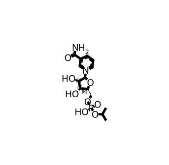 CC(C)OP(=O)(O)OC[C@H]1OC([n+]2cccc(C(N)=O)c2)[C@H](O)[C@@H]1O